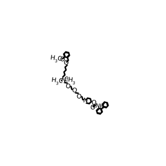 COc1ccccc1COCCCCCC[N+](C)(C)CCOCCOCCOCCN1CCC(OC(=O)Nc2ccccc2-c2ccccc2)CC1